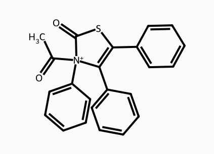 CC(=O)[N+]1(c2ccccc2)C(=O)SC(c2ccccc2)=C1c1ccccc1